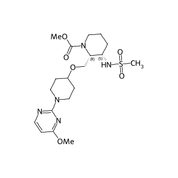 COC(=O)N1CCC[C@H](NS(C)(=O)=O)[C@@H]1COC1CCN(c2nccc(OC)n2)CC1